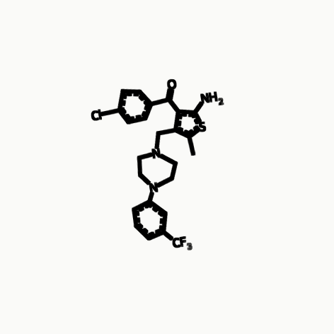 Cc1sc(N)c(C(=O)c2ccc(Cl)cc2)c1CN1CCN(c2cccc(C(F)(F)F)c2)CC1